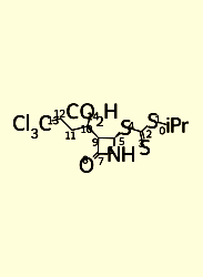 CC(C)SC(=S)S[C@H]1NC(=O)[C@H]1C(CCC(Cl)(Cl)Cl)C(=O)O